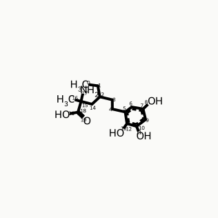 CCC(CCc1cc(O)cc(O)c1O)CC(C)(N)C(=O)O